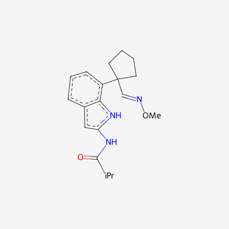 CON=CC1(c2cccc3cc(NC(=O)C(C)C)[nH]c23)CCCC1